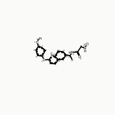 CC(C)Oc1ccc(Oc2ccc3cc(C(C)NC(=O)CNCl)ccc3n2)cc1